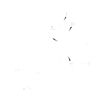 CCCC(=O)Oc1ccc2c3c1O[C@H]1[C@@H](O)C=C[C@H]4[C@@H](C2)N(C)CC[C@@]341